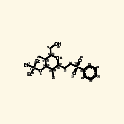 CC[Si](CC)(CC)O[C@H]1[C@@H](C)[C@@H](CO)O[C@@H](CCS(=O)(=O)c2ccccc2)[C@H]1C